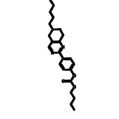 CCCCCC1CCc2nc(-c3ccc(OC(=O)OCCCC)cc3)ncc2C1